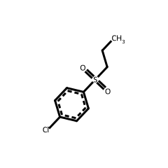 CCCS(=O)(=O)c1ccc(Cl)cc1